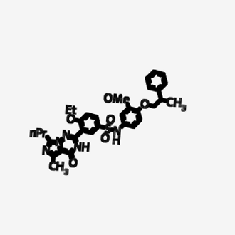 CCCc1nc(C)c2c(=O)[nH]c(-c3cc(S(=O)(=O)Nc4ccc(OCC(C)c5ccccc5)c(OC)c4)ccc3OCC)nn12